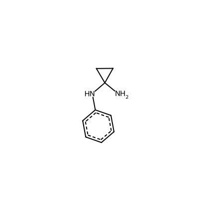 NC1(Nc2ccccc2)CC1